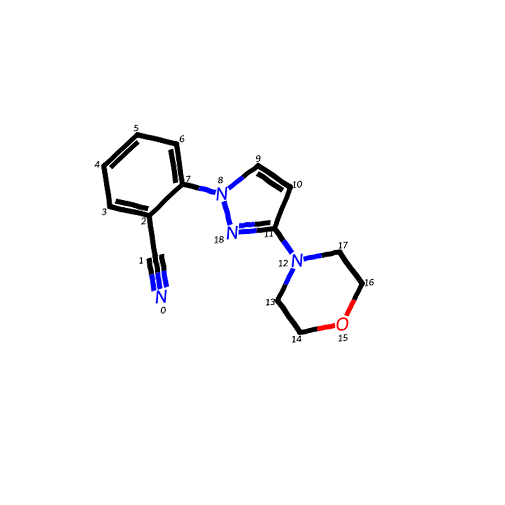 N#Cc1ccccc1-n1ccc(N2CCOCC2)n1